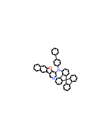 c1ccc(-c2ccc(N(c3cccc4c3-c3ccccc3C43c4ccccc4-c4ccccc43)c3cncc4c3oc3cc5ccccc5cc34)cc2)cc1